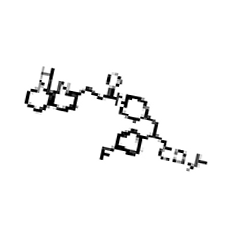 O=C(O)CC(CC1CCN(C(=O)CCc2ccc3c(n2)NCCC3)CC1)c1ccc(F)cc1